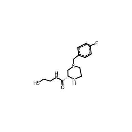 O=C(NCCS)[C@@H]1CN(Cc2ccc(F)cc2)CCN1